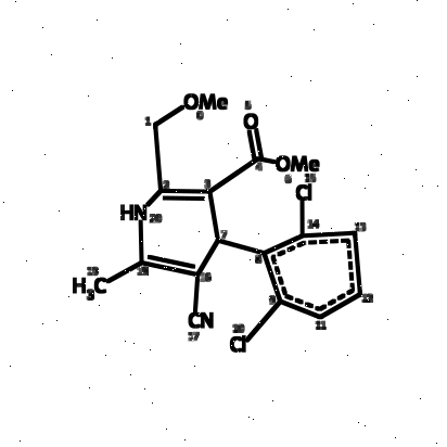 COCC1=C(C(=O)OC)C(c2c(Cl)cccc2Cl)C(C#N)=C(C)N1